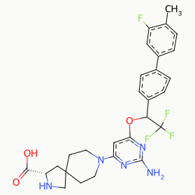 Cc1ccc(-c2ccc(C(Oc3cc(N4CCC5(CC4)CN[C@H](C(=O)O)C5)nc(N)n3)C(F)(F)F)cc2)cc1F